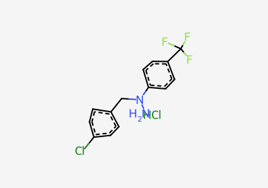 Cl.NN(Cc1ccc(Cl)cc1)c1ccc(C(F)(F)F)cc1